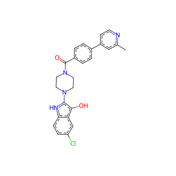 Cc1cc(-c2ccc(C(=O)N3CCN(c4[nH]c5ccc(Cl)cc5c4O)CC3)cc2)ccn1